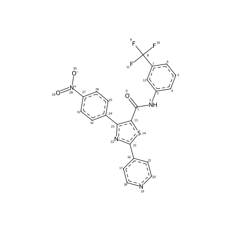 O=C(Nc1cccc(C(F)(F)F)c1)c1sc(-c2ccncc2)nc1-c1ccc([N+](=O)[O-])cc1